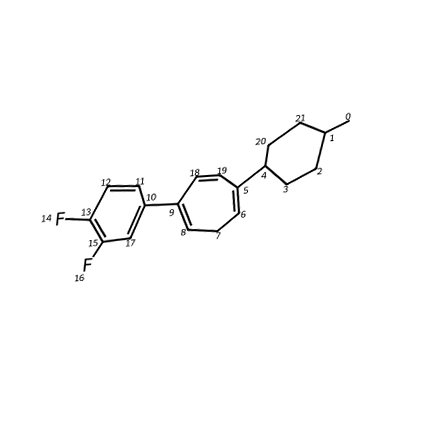 CC1CCC(C2=CCC=C(c3ccc(F)c(F)c3)C=C2)CC1